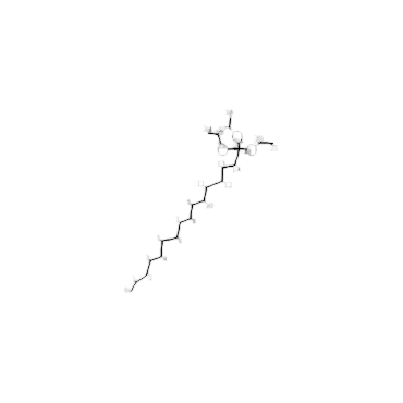 CCCCCCCCCCCCCCCC(OCC)(OCC)OCC